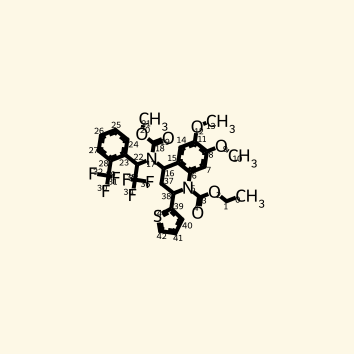 CCOC(=O)N1c2cc(OC)c(OC)cc2C(N(C(=O)OC)C(c2ccccc2C(F)(F)F)C(F)(F)F)CC1c1cccs1